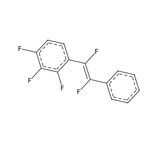 FC(=C(F)c1ccc(F)c(F)c1F)c1ccccc1